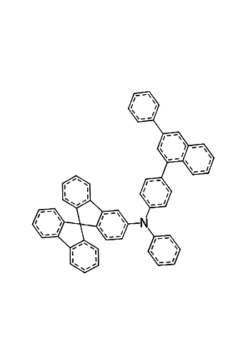 c1ccc(-c2cc(-c3ccc(N(c4ccccc4)c4ccc5c(c4)-c4ccccc4C54c5ccccc5-c5ccccc54)cc3)c3ccccc3c2)cc1